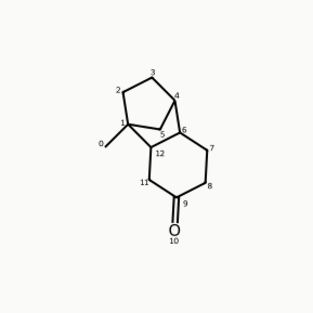 CC12CCC(C1)C1CCC(=O)CC12